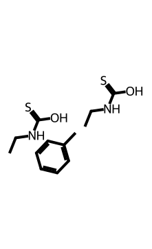 CCNC(O)=S.CCNC(O)=S.Cc1ccccc1